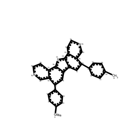 COc1ccc(-c2cc3c4cc(-c5ccc(C)cc5)c5cnccc5c4sc3c3ccncc23)cc1